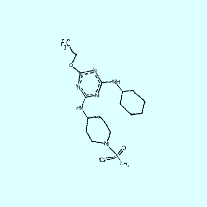 CS(=O)(=O)N1CCC(Nc2nc(NC3CCCCC3)nc(OCC(F)(F)F)n2)CC1